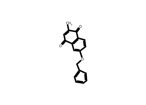 CC1=CC(=O)c2cc(OCc3ccccc3)ccc2C1=O